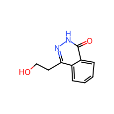 O=c1[nH]nc(CCO)c2ccccc12